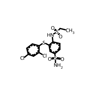 CCS(=O)(=O)Nc1ccc(S(N)(=O)=O)cc1Sc1ccc(Cl)cc1Cl